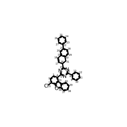 Clc1ccc(-c2nc(-c3ccccc3)nc(C3C=Cc4cc(-c5ccccc5)ccc4C3)n2)c2c1oc1ccccc12